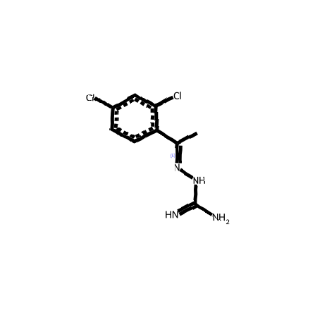 C/C(=N\NC(=N)N)c1ccc(Cl)cc1Cl